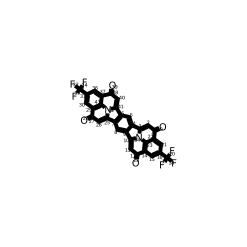 O=c1cc2c3cc4c(cc3c3cc(=O)c5cc(C(F)(F)F)cc1c5n23)c1cc(=O)c2cc(C(F)(F)F)cc3c(=O)cc4n1c32